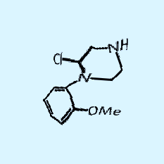 COc1ccccc1N1CCNCC1Cl